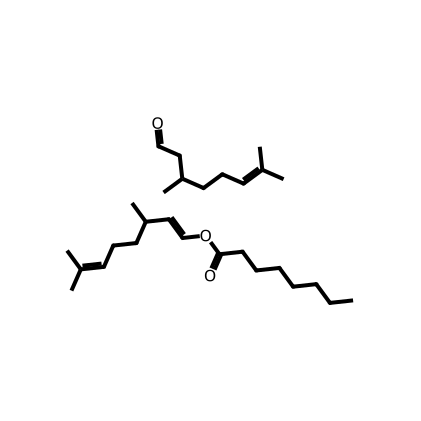 CC(C)=CCCC(C)CC=O.CCCCCCCC(=O)OC=CC(C)CCC=C(C)C